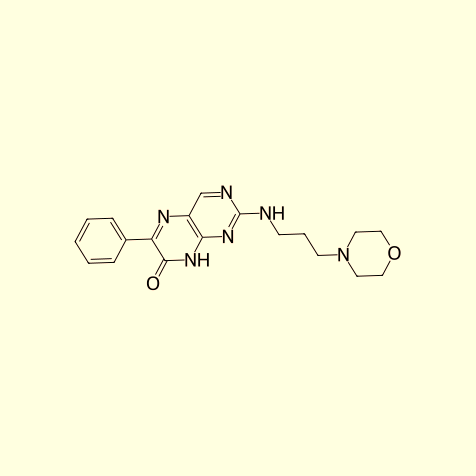 O=c1[nH]c2nc(NCCCN3CCOCC3)ncc2nc1-c1ccccc1